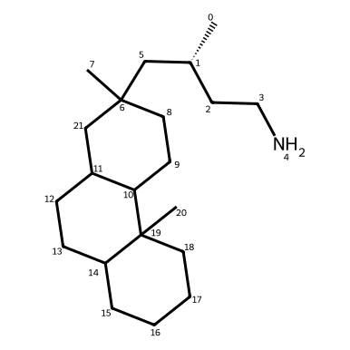 C[C@H](CCN)CC1(C)CCC2C(CCC3CCCCC32C)C1